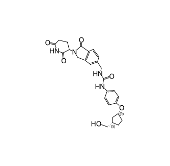 O=C1CCC(N2Cc3cc(CNC(=O)Nc4ccc(O[C@@H]5CC[C@H](CO)C5)cc4)ccc3C2=O)C(=O)N1